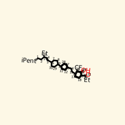 CCCC(C)CCC(/C=C/C1CCC(c2ccc(CCc3ccc(C(=O)CC)c(O)c3C(F)(F)F)cc2)CC1)CC